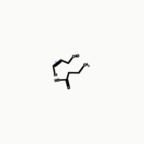 CC/C=C\CC=O.CCCC(=O)O